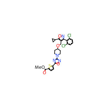 COC(=O)c1ccc(-c2nc(N3CCC(OCc4c(-c5c(Cl)cccc5Cl)noc4C4CC4)CC3)no2)s1